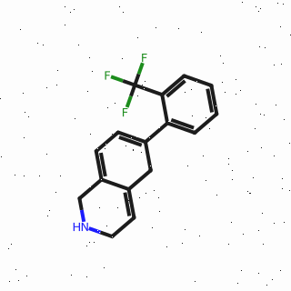 FC(F)(F)c1ccccc1C1=CC=C2CNCC=C2C1